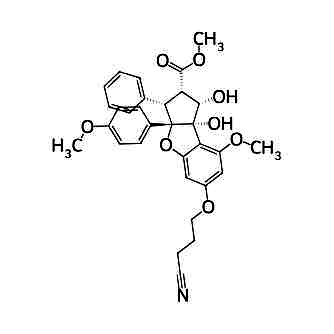 COC(=O)[C@H]1[C@@H](c2ccccc2)[C@@]2(c3ccc(OC)cc3)Oc3cc(OCCCC#N)cc(OC)c3[C@]2(O)[C@H]1O